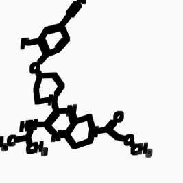 COCC(=O)N1CCc2nc(NC(C)C)c(N3CCC(Oc4ccc(C#N)cc4F)CC3)nc2C1